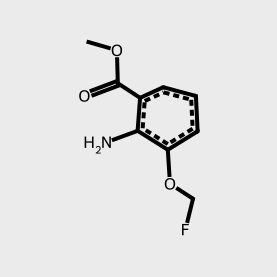 COC(=O)c1cccc(OCF)c1N